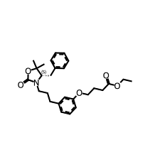 CCOC(=O)CCCOc1cccc(CCCN2C(=O)OC(C)(C)[C@@H]2Cc2ccccc2)c1